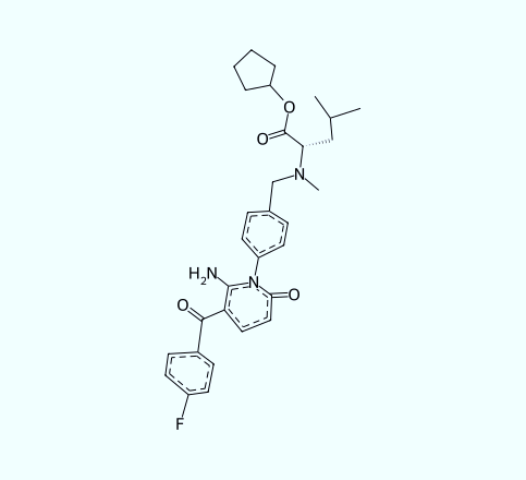 CC(C)C[C@@H](C(=O)OC1CCCC1)N(C)Cc1ccc(-n2c(N)c(C(=O)c3ccc(F)cc3)ccc2=O)cc1